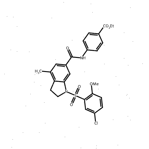 CCOC(=O)c1ccc(NC(=O)c2cc(C)c3c(c2)N(S(=O)(=O)c2cc(Cl)ccc2OC)CC3)cc1